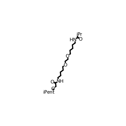 CCCC(C)OCC(=O)NCCCCCOCCOCCCCCNC(=O)C(C)C